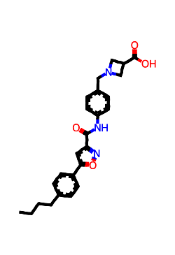 CCCCc1ccc(-c2cc(C(=O)Nc3ccc(CN4CC(C(=O)O)C4)cc3)no2)cc1